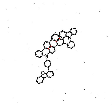 c1ccc(-c2ccc(-c3ccccc3N(c3ccc(-c4cccc(-c5ccccc5-n5c6ccccc6c6ccccc65)c4)cc3)c3ccc(-c4cccc5c4oc4ccccc45)cc3)cc2)cc1